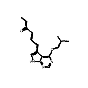 CCC(=O)/C=C/Cc1c[nH]c2ncnc(OCC(C)C)c12